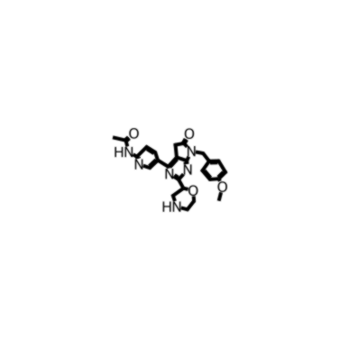 COc1ccc(CN2C(=O)Cc3c(-c4ccc(NC(C)=O)nc4)nc(C4CNCCO4)nc32)cc1